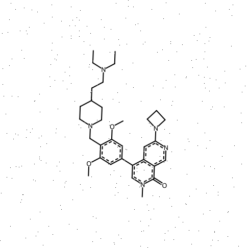 CCN(CC)CCC1CCN(Cc2c(OC)cc(-c3cn(C)c(=O)c4cnc(N5CCC5)cc34)cc2OC)CC1